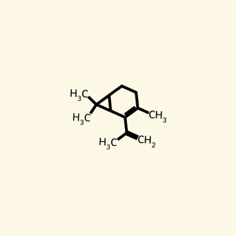 C=C(C)C1=C(C)CCC2C1C2(C)C